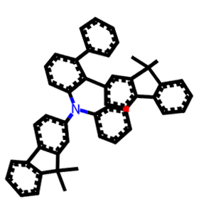 CC1(C)c2ccccc2-c2ccc(-c3c(-c4ccccc4)cccc3N(c3ccccc3)c3ccc4c(c3)C(C)(C)c3ccccc3-4)cc21